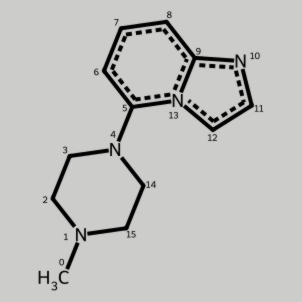 CN1CCN(c2cccc3nccn23)CC1